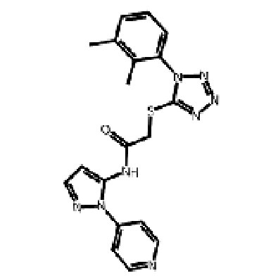 Cc1cccc(-n2nnnc2SCC(=O)Nc2ccnn2-c2ccncc2)c1C